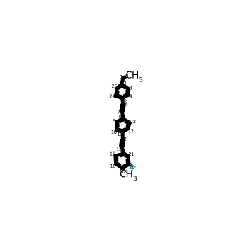 CCc1ccc(C#Cc2ccc(C#Cc3ccc(C)c(F)c3)cc2)cc1